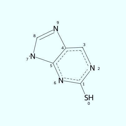 Sc1ncc2c(n1)[N]C=N2